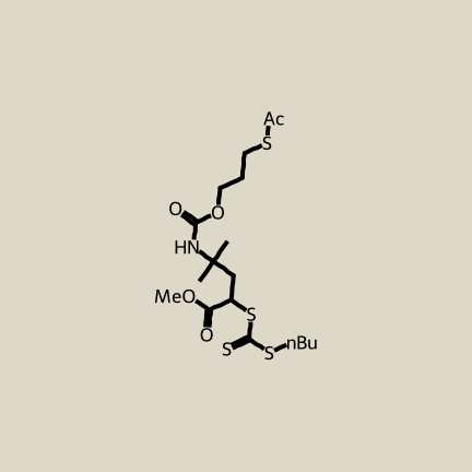 CCCCSC(=S)SC(CC(C)(C)NC(=O)OCCCSC(C)=O)C(=O)OC